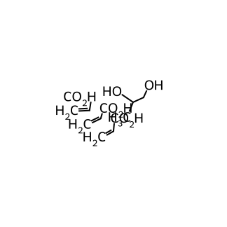 C=CC(=O)O.C=CC(=O)O.C=CC(=O)O.CC(O)CO